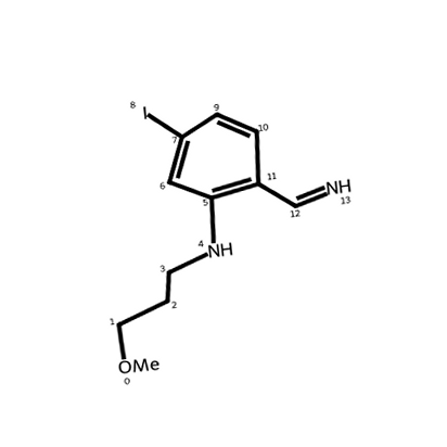 COCCCNc1cc(I)ccc1C=N